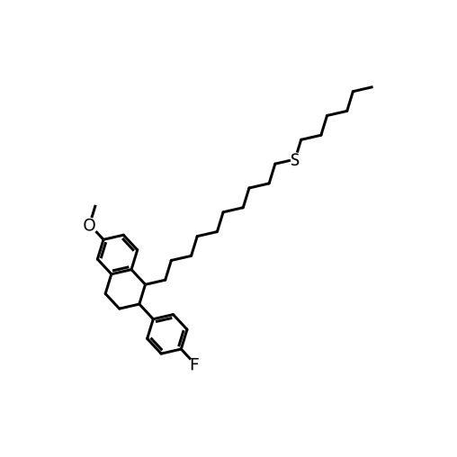 CCCCCCSCCCCCCCCCCC1c2ccc(OC)cc2CCC1c1ccc(F)cc1